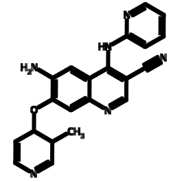 CC1C=NC=CC1Oc1cc2ncc(C#N)c(Nc3ccccn3)c2cc1N